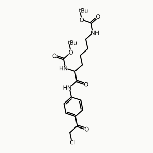 CC(C)(C)OC(=O)NCCCCC(NC(=O)OC(C)(C)C)C(=O)Nc1ccc(C(=O)CCl)cc1